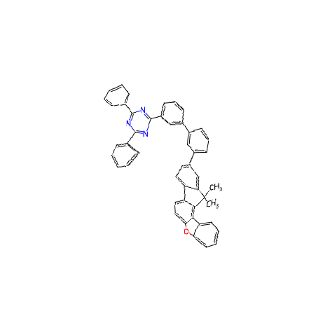 CC1(C)c2cc(-c3cccc(-c4cccc(-c5nc(-c6ccccc6)nc(-c6ccccc6)n5)c4)c3)ccc2-c2ccc3oc4ccccc4c3c21